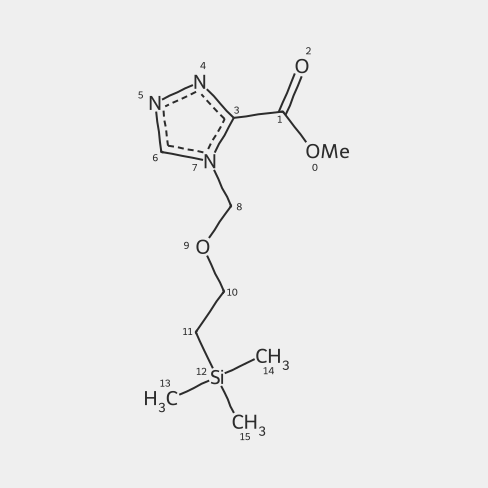 COC(=O)c1nncn1COCC[Si](C)(C)C